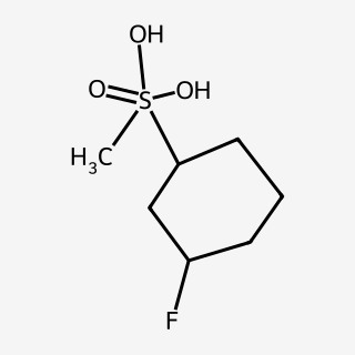 CS(=O)(O)(O)C1CCCC(F)C1